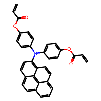 C=CC(=O)Oc1ccc(N(c2ccc(OC(=O)C=C)cc2)c2ccc3ccc4cccc5ccc2c3c45)cc1